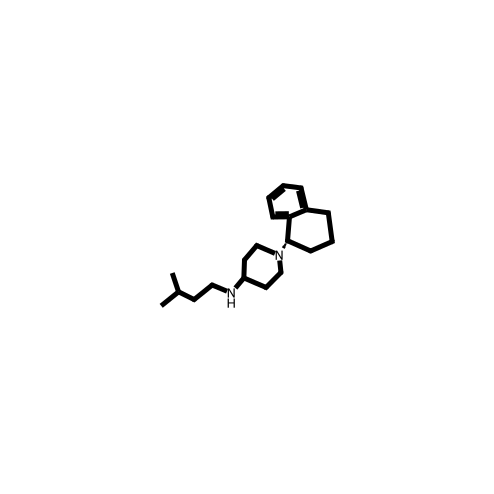 CC(C)CCNC1CCN([C@H]2CCCc3ccccc32)CC1